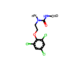 CCCN(CCOc1c(Cl)cc(Cl)cc1Cl)C(=O)NC=O